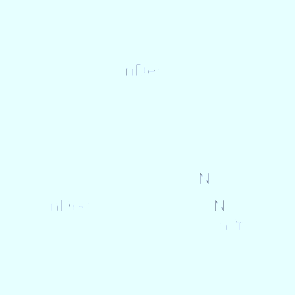 CCCCCCCCCCCCCCCCC1N(CCC)C=CN1CCCCCCCCCCCCCCCC